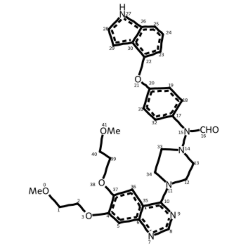 COCCOc1cc2ncnc(N3CCN(N(C=O)c4ccc(Oc5cccc6[nH]ccc56)cc4)CC3)c2cc1OCCOC